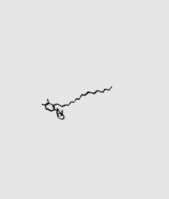 CCCCCCCCCCCCCCCCCc1c(N=O)ccc(C)c1C